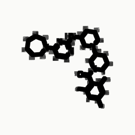 Cc1cc(C)c(C(=O)N2CCCC(N3CCCC(Nc4nccc(N5CCCCCC5)n4)C3)C2)c(C)c1